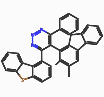 Cc1cc2c(c(-c3c(-c4ccccc4)nnnc3-c3cccc4sc5ccccc5c34)c1C)Cc1ccccc1-2